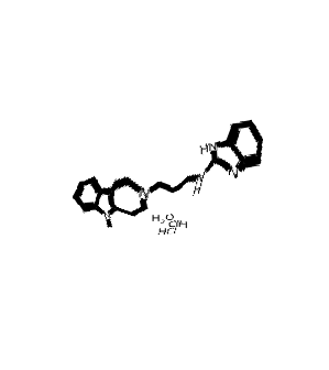 Cl.Cl.Cn1c2c(c3ccccc31)CN(CCCNc1nc3ccccc3[nH]1)CC2.O